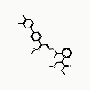 COC=C(C(=O)OC)c1ccccc1C(C)ON=CC(=NOC)c1ccc(C2=CCC(C)=C(C)C2)cc1